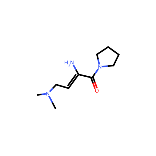 CN(C)CC=C(N)C(=O)N1CCCC1